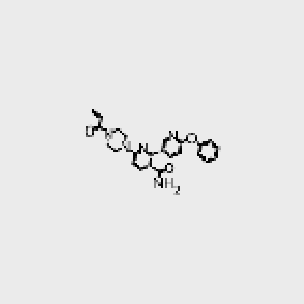 C=CC(=O)N1CCN(c2ccc(C(N)=O)c(-c3ccc(Oc4ccccc4)nc3)n2)CC1